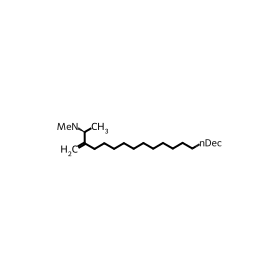 C=C(CCCCCCCCCCCCCCCCCCCCC)[C@H](C)NC